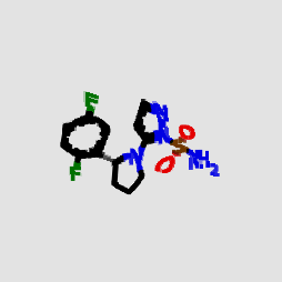 NS(=O)(=O)n1nccc1N1CCC[C@@H]1c1cc(F)ccc1F